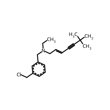 CCN(CC=CC#CC(C)(C)C)Cc1cccc(CCl)c1